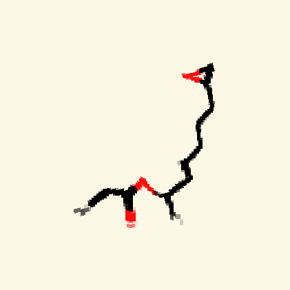 C=CC(=O)OC(C)CCCCCC1CO1